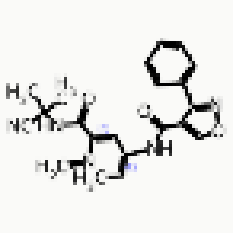 C=N/C(=C\C(=C/C)NC(=O)c1conc1-c1ccccc1)C(=O)NC(C)(C)C#N